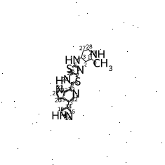 C[C@H]1CC(Nc2nc3sc(-c4ncc(-c5cn[nH]c5)c5cc[nH]c45)nc3s2)CCN1